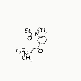 CCC(=O)N(C)c1cccc(C(=O)C=CN(C)C)c1